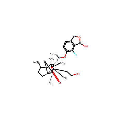 CO[C@@H]1CC[C@@]23CC[C@@H](C)[C@](C)([C@H](C(Oc4ccc5c(c4F)B(O)OC5)C(=O)O)C[C@](C)(CCO)C(=O)[C@@H]2C)[C@@H]13